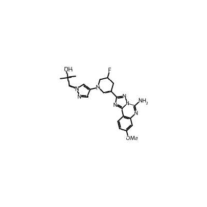 COc1ccc2c(c1)nc(N)n1nc(C3CC(F)CN(c4cnn(CC(C)(C)O)c4)C3)nc21